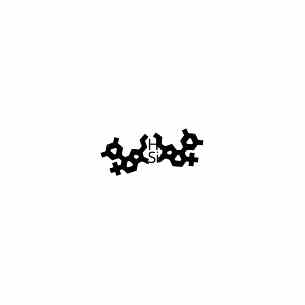 CCCC1=Cc2c(ccc(C(C)(C)C)c2-c2cc(C)cc(C)c2)C1C[SiH2]CC1C(CCC)=Cc2c1ccc(C(C)(C)C)c2-c1cc(C)cc(C)c1